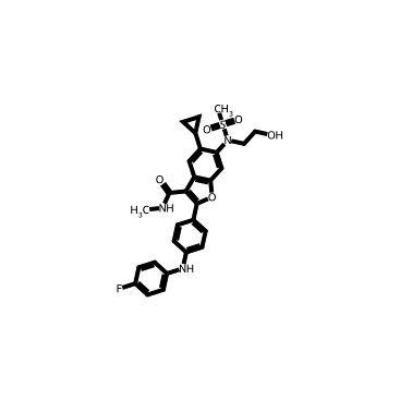 CNC(=O)c1c(-c2ccc(Nc3ccc(F)cc3)cc2)oc2cc(N(CCO)S(C)(=O)=O)c(C3CC3)cc12